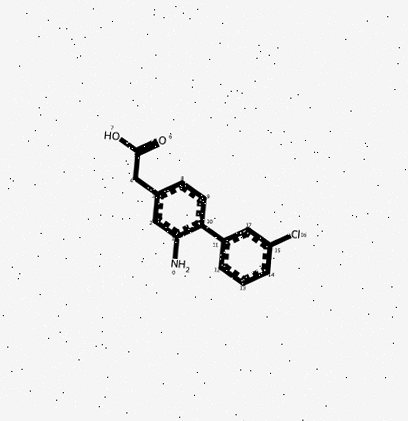 Nc1cc(CC(=O)O)ccc1-c1cccc(Cl)c1